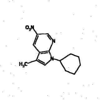 Cc1cn(C2CCCCC2)c2ncc([N+](=O)[O-])cc12